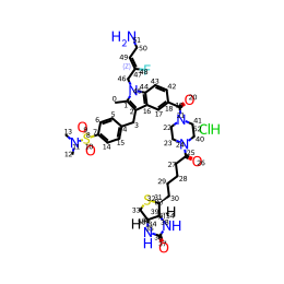 Cc1c(Cc2ccc(S(=O)(=O)N(C)C)cc2)c2cc(C(=O)N3CCN(C(=O)CCCC[C@@H]4SC[C@@H]5NC(=O)N[C@@H]54)CC3)ccc2n1C/C(F)=C/CN.Cl